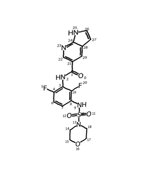 O=C(Nc1c(F)ccc(NS(=O)(=O)N2CCOCC2)c1F)c1cnc2[nH]ccc2c1